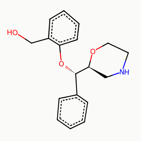 OCc1ccccc1O[C@@H](c1ccccc1)[C@@H]1CNCCO1